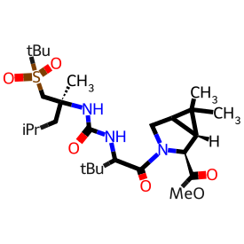 COC(=O)[C@@H]1[C@@H]2C(CN1C(=O)C(NC(=O)N[C@@](C)(CC(C)C)CS(=O)(=O)C(C)(C)C)C(C)(C)C)C2(C)C